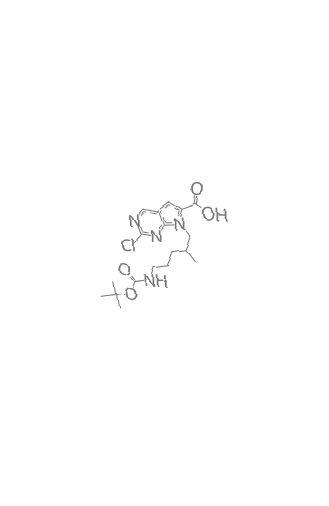 CC(CCCNC(=O)OC(C)(C)C)Cn1c(C(=O)O)cc2cnc(Cl)nc21